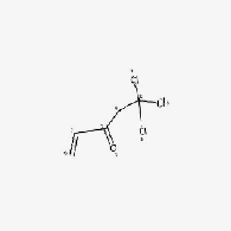 C=CC(=O)CC(Cl)(Cl)Cl